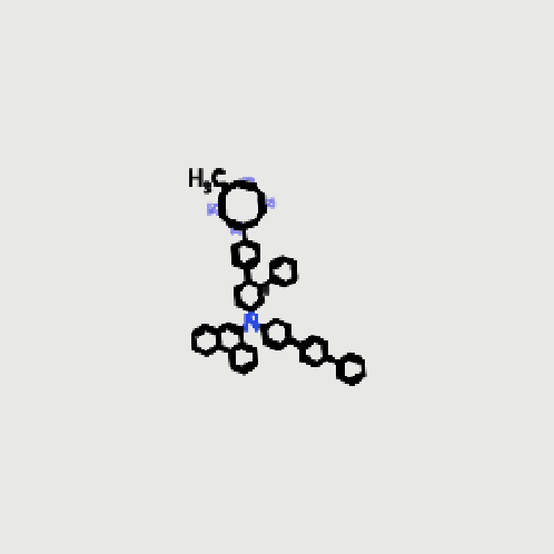 CC1/C=C\C=C/C/C(c2ccc(C3CCC(N(c4cc5c(c6ccccc46)CCC=C5)C4C=CC(c5ccc(-c6ccccc6)cc5)CC4)C[C@@H]3c3ccccc3)cc2)=C\C=C/1